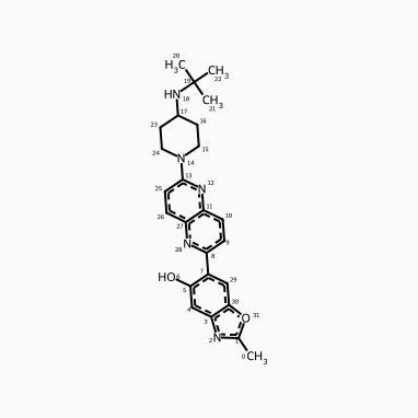 Cc1nc2cc(O)c(-c3ccc4nc(N5CCC(NC(C)(C)C)CC5)ccc4n3)cc2o1